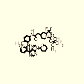 Cc1ccc(NC(=O)CC2CCN(C(=O)OC(C)(C)C)C(C(F)(F)F)C2)cc1Nc1ncccc1-c1ncnc2c1ncn2C1CCCCO1